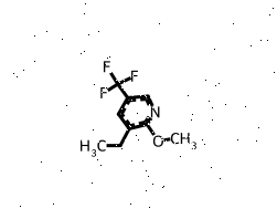 CCc1cc(C(F)(F)F)cnc1OC